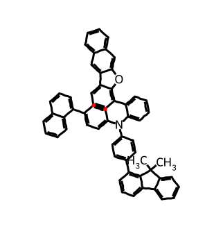 CC1(C)c2ccccc2-c2cccc(-c3ccc(N(c4ccc(-c5cccc6ccccc56)cc4)c4ccccc4-c4cccc5c4oc4cc6ccccc6cc45)cc3)c21